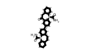 NC(=O)N1c2ccccc2C=Cc2cc(-c3ccc4c(c3)C(=O)Cc3ccccc3N4C(N)=O)ccc21